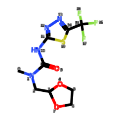 CN(CC1OCCO1)C(=O)Nc1nnc(C(F)(F)F)s1